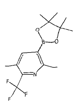 Cc1cc(B2OC(C)(C)C(C)(C)O2)c(C)nc1C(F)(F)F